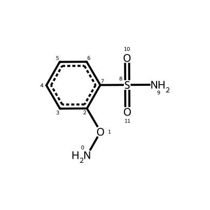 NOc1ccccc1S(N)(=O)=O